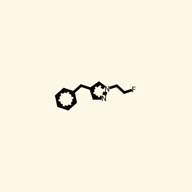 FCCn1cc(Cc2ccccc2)cn1